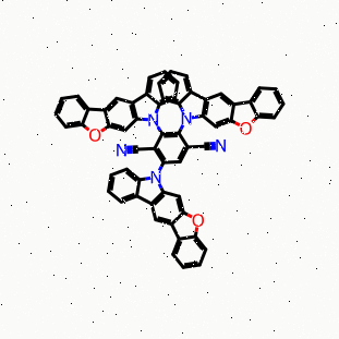 N#Cc1cc(-n2c3ccccc3c3cc4c(cc32)oc2ccccc24)c(C#N)c(-n2c3ccccc3c3cc4c(cc32)oc2ccccc24)c1-n1c2ccccc2c2cc3c(cc21)oc1ccccc13